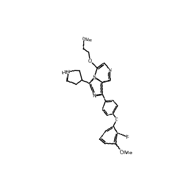 COCCOc1cncc2c(-c3ccc(Oc4cccc(OC)c4F)cc3)nc(C3CCNC3)n12